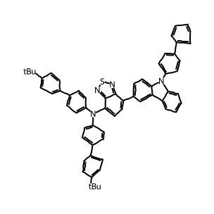 CC(C)(C)c1ccc(-c2ccc(N(c3ccc(-c4ccc(C(C)(C)C)cc4)cc3)c3ccc(-c4ccc5c(c4)c4ccccc4n5-c4ccc(-c5ccccc5)cc4)c4nsnc34)cc2)cc1